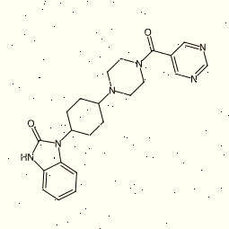 O=C(c1cncnc1)N1CCN(C2CCC(n3c(=O)[nH]c4ccccc43)CC2)CC1